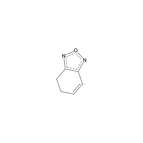 [C]1=CCCc2nonc21